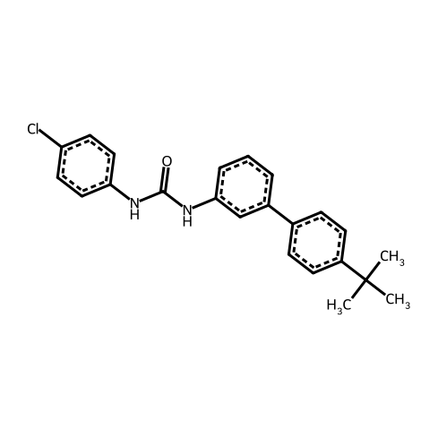 CC(C)(C)c1ccc(-c2cccc(NC(=O)Nc3ccc(Cl)cc3)c2)cc1